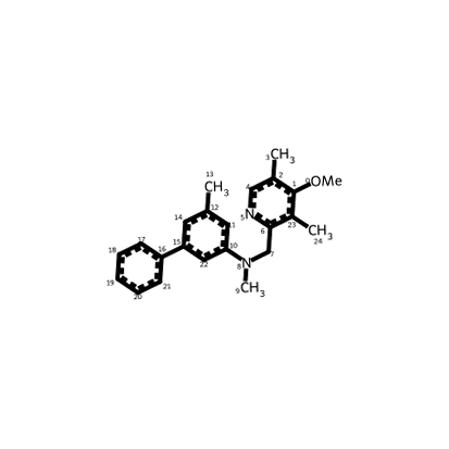 COc1c(C)cnc(CN(C)c2cc(C)cc(-c3ccccc3)c2)c1C